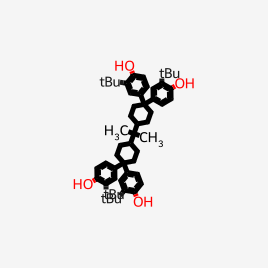 CC(C)(C)c1cc(C2(c3ccc(O)c(C(C)(C)C)c3)CCC(C(C)(C)C3CCC(c4ccc(O)c(C(C)(C)C)c4)(c4ccc(O)c(C(C)(C)C)c4)CC3)CC2)ccc1O